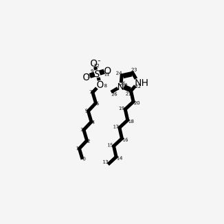 CCCCCCCCOS(=O)(=O)[O-].CCCCCCCCc1[nH]cc[n+]1C